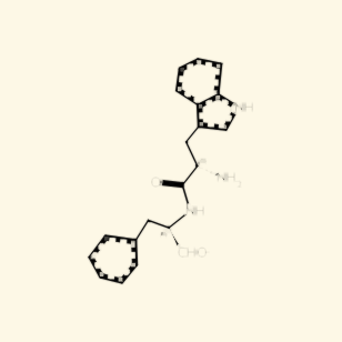 N[C@@H](Cc1c[nH]c2ccccc12)C(=O)N[C@@H]([C]=O)Cc1ccccc1